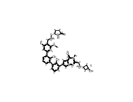 COc1nc(-c2cccc(-c3cccc(-c4cc5c(=O)n(C)c(CN[C@H]6C[C@](C)(O)C6)nn5c4)c3Cl)c2Cl)cc(F)c1CNC[C@@H]1CCC(=O)N1